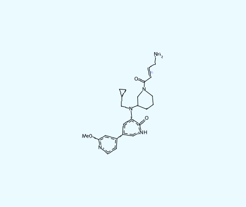 COc1cc(-c2c[nH]c(=O)c(N(CC3CC3)C3CCCN(C(=O)/C=C/CN)C3)c2)ccn1